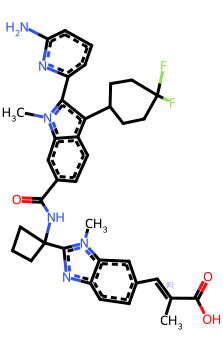 C/C(=C\c1ccc2nc(C3(NC(=O)c4ccc5c(C6CCC(F)(F)CC6)c(-c6cccc(N)n6)n(C)c5c4)CCC3)n(C)c2c1)C(=O)O